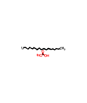 O=C(O)O.[Li][CH2]CCCCCCCCCCCCCCCC